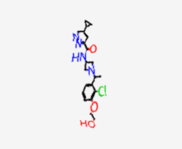 CC(c1cccc(OCCO)c1Cl)N1CC(NC(=O)c2cc(C3CC3)cnn2)C1